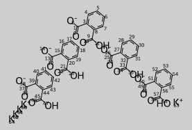 O=C([O-])c1ccccc1C(=O)O.O=C([O-])c1ccccc1C(=O)O.O=C([O-])c1ccccc1C(=O)O.O=C([O-])c1ccccc1C(=O)O.O=C([O-])c1ccccc1C(=O)O.[K+].[K+].[K+].[K+].[K+]